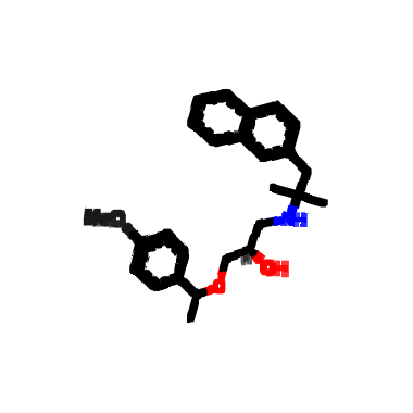 COc1ccc(C(C)OC[C@H](O)CNC(C)(C)Cc2ccc3ccccc3c2)cc1